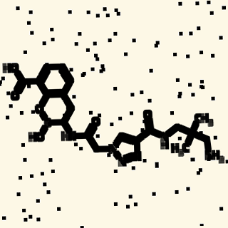 CC(C)(CN)CNC(=O)c1cn(CC(=O)NC2Cc3cccc(C(=O)O)c3OB2O)nn1